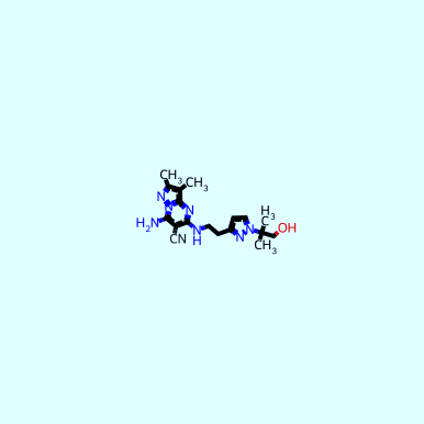 Cc1nn2c(N)c(C#N)c(NCCc3ccn(C(C)(C)CO)n3)nc2c1C